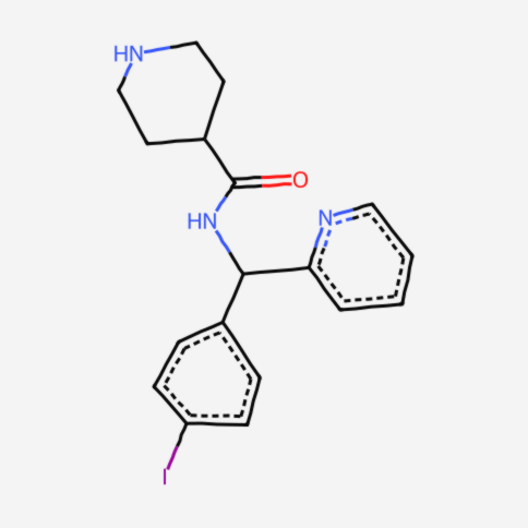 O=C(NC(c1ccc(I)cc1)c1ccccn1)C1CCNCC1